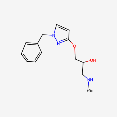 CC(C)(C)NCC(O)COc1ccn(Cc2ccccc2)n1